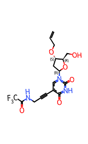 C=CCO[C@H]1C[C@H](n2cc(C#CCNC(=O)C(F)(F)F)c(=O)[nH]c2=O)O[C@@H]1CO